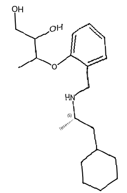 CC(Oc1ccccc1CN[C@@H](C)CC1CCCCC1)C(O)CO